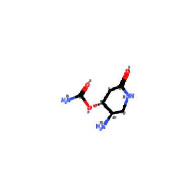 NC(=O)O[C@@H]1CC(=O)NC[C@H]1N